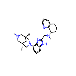 CN1C[C@H]2C[C@H](C1)CN(c1cccc3[nH]c(CN(C)[C@H]4CCCc5cccnc54)nc13)C2